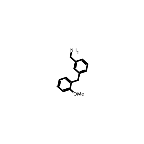 COc1c[c]ccc1Cc1cccc(CN)c1